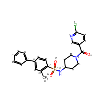 O=C(c1ccc(Cl)nc1)N1CCC(NS(=O)(=O)c2ccc(-c3ccccc3)cc2C(F)(F)F)CC1